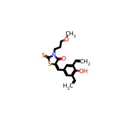 C=Cc1cc(C=C2SC(=S)N(CCCOC)C2=O)cc(C=C)c1O